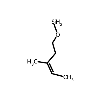 CC=C(C)CCO[SiH3]